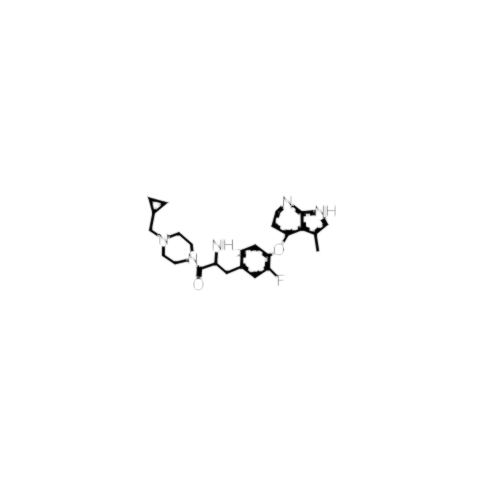 Cc1c[nH]c2nccc(Oc3ccc(CC(N)C(=O)N4CCN(CC5CC5)CC4)cc3F)c12